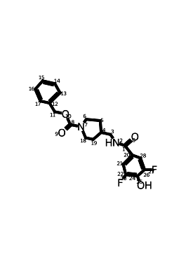 O=C(NCC1CCN(C(=O)OCc2ccccc2)CC1)c1cc(F)c(O)c(F)c1